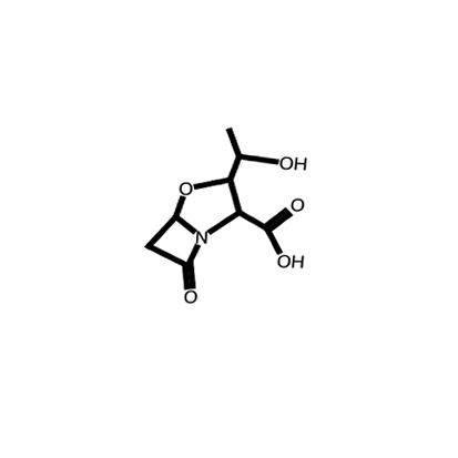 CC(O)C1OC2CC(=O)N2C1C(=O)O